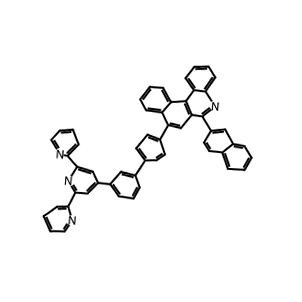 c1ccc(-c2cc(-c3cccc(-c4ccc(-c5cc6c(-c7ccc8ccccc8c7)nc7ccccc7c6c6ccccc56)cc4)c3)cc(-c3ccccn3)n2)nc1